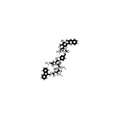 CC[C@@]1(OC(=O)OCc2ccc(NC(=O)[C@H](CC(N)=O)NC(=O)[C@H](C)NC(=O)[C@H](C)NC(=O)OCC3c4ccccc4-c4ccccc43)cc2)C(=O)OCc2c1cc1n(c2=O)Cc2cc3ccccc3nc2-1